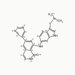 CN(C)Cc1n[nH]c2cc(Nc3nc(-c4cncnc4)cc4cc[nH]c(=O)c34)ccc12